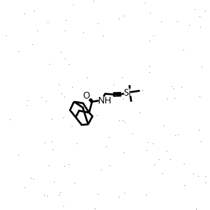 C[Si](C)(C)C#CCNC(=O)C12CC3CC(CC(C3)C1)C2